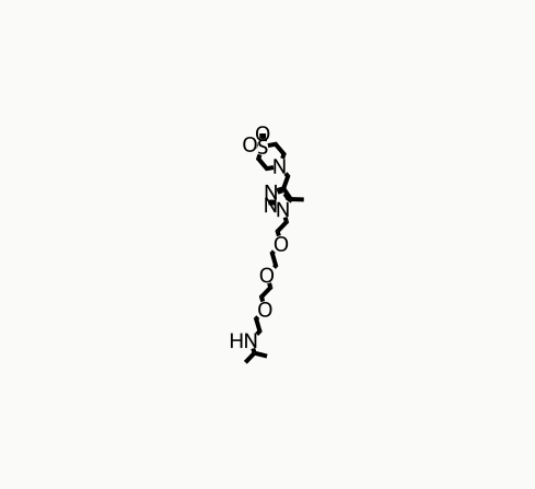 Cc1c(CN2CCS(=O)(=O)CC2)nnn1CCOCCOCCOCCNC(C)C